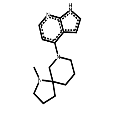 CN1CCCC12CCCN(c1ccnc3[nH]ccc13)C2